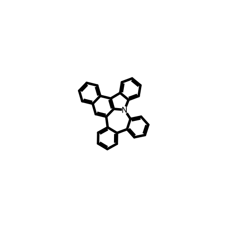 c1ccc2c(c1)-c1ccccc1-n1c3ccccc3c3c4ccccc4cc-2c31